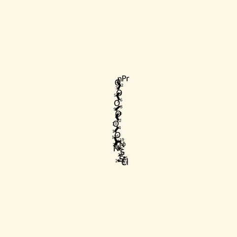 CCCOCCOCCOCCOCCOCCOCc1cnc(SCS(C)(C)Cl)nc1